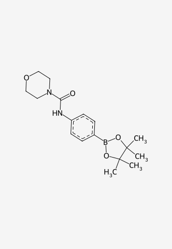 CC1(C)OB(c2ccc(NC(=O)N3CCOCC3)cc2)OC1(C)C